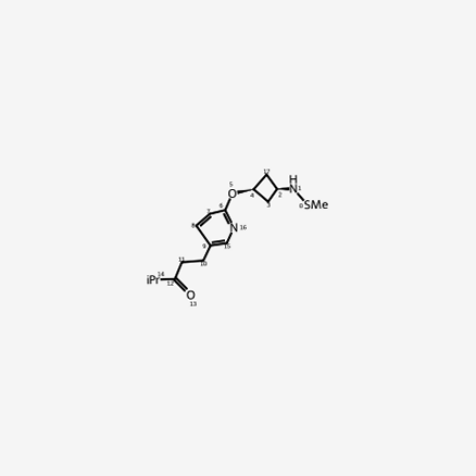 CSN[C@H]1C[C@@H](Oc2ccc(CCC(=O)C(C)C)cn2)C1